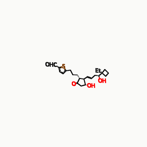 CCC1(C(O)C/C=C/C2[C@H](O)CC(=O)[C@@H]2CCCc2ccc(C=O)s2)CCC1